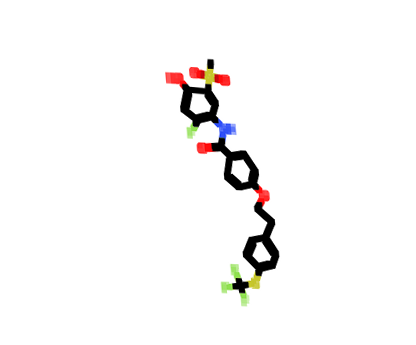 CS(=O)(=O)c1cc(NC(=O)c2ccc(OCCc3ccc(SC(F)(F)F)cc3)cc2)c(F)cc1O